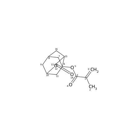 C=C(C)C(=O)OC12CC3CC(C1)OC(=O)C2C3